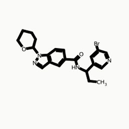 CCC(NC(=O)c1ccc2c(cnn2C2CCCCO2)c1)c1cncc(Br)c1